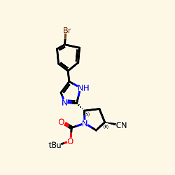 CC(C)(C)OC(=O)N1C[C@H](C#N)C[C@H]1c1ncc(-c2ccc(Br)cc2)[nH]1